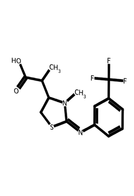 CC(C(=O)O)C1CSC(=Nc2cccc(C(F)(F)F)c2)N1C